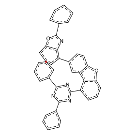 c1ccc(-c2nc(-c3ccccc3)nc(-c3cccc4oc5ccc(-c6cccc7oc(-c8ccccc8)nc67)cc5c34)n2)cc1